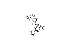 C/C=C\c1ccc(NC(=O)c2cc(-c3ccccc3)nc3ccccc23)cc1C